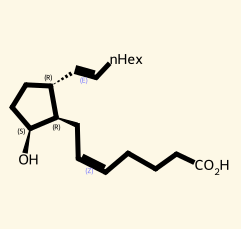 CCCCCC/C=C/[C@H]1CC[C@H](O)[C@@H]1C/C=C\CCCC(=O)O